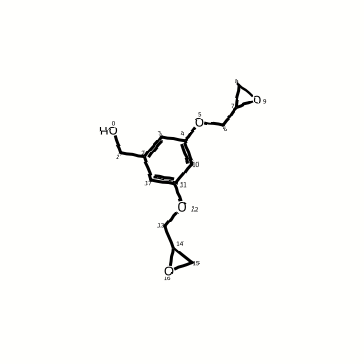 OCc1cc(OCC2CO2)cc(OCC2CO2)c1